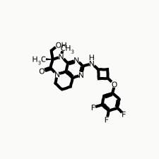 CN1c2nc(NC3CC(Oc4cc(F)c(F)c(F)c4)C3)nc3c2N(CCC3)C(=O)[C@]1(C)CO